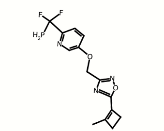 CC1=C(c2nc(COc3ccc(C(F)(F)P)nc3)no2)CC1